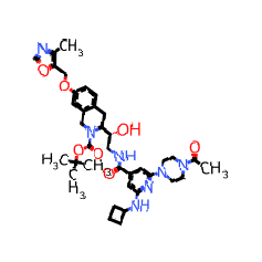 CC(=O)N1CCN(c2cc(C(=O)NC[C@@H](O)C3Cc4ccc(OCc5ocnc5C)cc4CN3C(=O)OC(C)(C)C)cc(NC3CCC3)n2)CC1